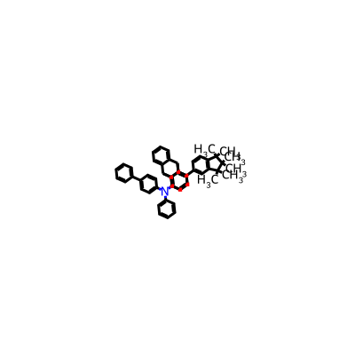 CC1(C)c2ccc(-c3ccc(N(c4ccccc4)c4ccc(-c5ccccc5)cc4)c4c3C3c5ccccc5C4c4ccccc43)cc2C(C)(C)C1(C)C